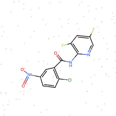 O=C(Nc1ncc(F)cc1F)c1cc([N+](=O)[O-])ccc1Cl